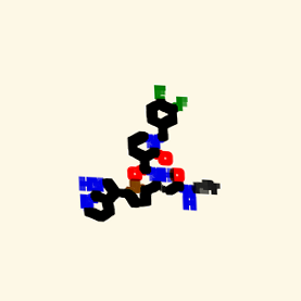 CCCNC(=O)C[C@@H](NC(=O)c1cccn(Cc2ccc(F)c(F)c2)c1=O)c1ccc(-c2c[nH]c3ncccc23)s1